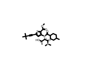 COC(=O)c1sc(C#CC(C)(C)C)cc1N(C(=O)C1CCC(C)CC1)[C@H](C(=O)N(C)C)[C@@H](C)O